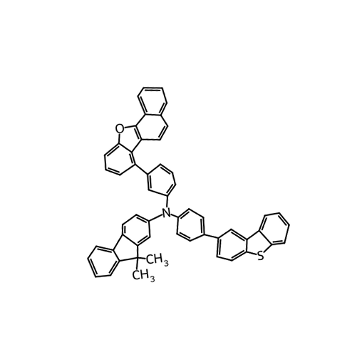 CC1(C)c2ccccc2-c2ccc(N(c3ccc(-c4ccc5sc6ccccc6c5c4)cc3)c3cccc(-c4cccc5oc6c7ccccc7ccc6c45)c3)cc21